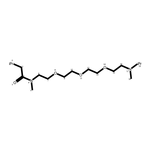 CC(C)CC(=O)N(C)CCOCCOCCOCCN(C)C(C)C